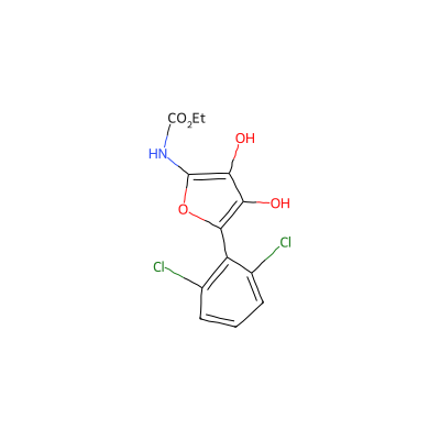 CCOC(=O)Nc1oc(-c2c(Cl)cccc2Cl)c(O)c1O